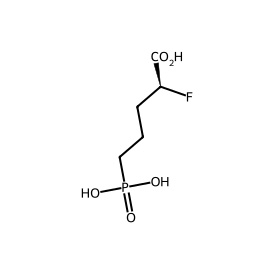 O=C(O)[C@@H](F)CCCP(=O)(O)O